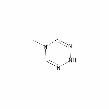 CN1C=NNN=C1